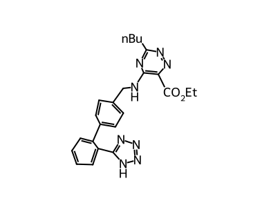 CCCCc1nnc(C(=O)OCC)c(NCc2ccc(-c3ccccc3-c3nnn[nH]3)cc2)n1